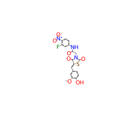 COc1cc(/C=C2\SC(=O)N(CC(=O)Nc3ccc([N+](=O)[O-])c(F)c3)C2=O)ccc1O